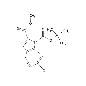 COC(=O)c1cc2ccc(Cl)cc2n1C(=O)OC(C)(C)C